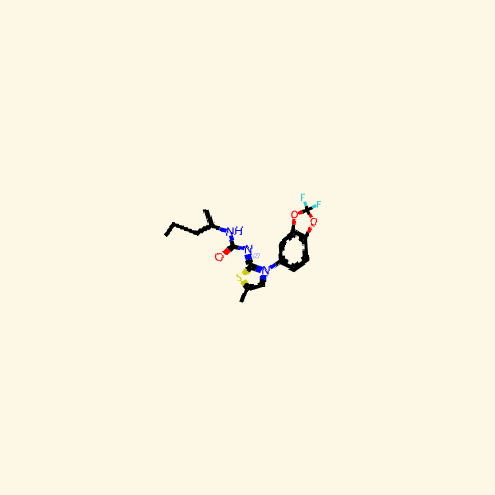 CCCC(C)NC(=O)/N=c1\sc(C)cn1-c1ccc2c(c1)OC(F)(F)O2